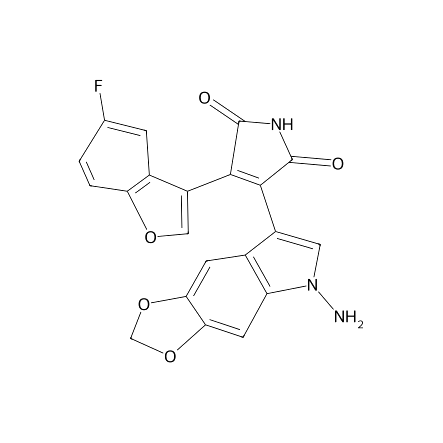 Nn1cc(C2=C(c3coc4ccc(F)cc34)C(=O)NC2=O)c2cc3c(cc21)OCO3